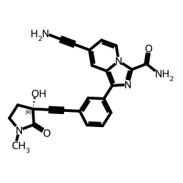 CN1CC[C@@](O)(C#Cc2cccc(-c3nc(C(N)=O)n4ccc(C#CN)cc34)c2)C1=O